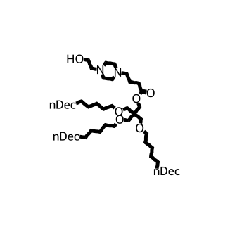 CCCCCCCCCCCCCCCOCC(COCCCCCCCCCCCCCCC)(COCCCCCCCCCCCCCCC)COC(=O)CCCN1CCN(CCO)CC1